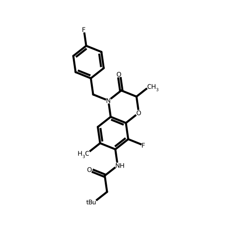 Cc1cc2c(c(F)c1NC(=O)CC(C)(C)C)OC(C)C(=O)N2Cc1ccc(F)cc1